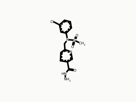 CS(=O)(=O)N(Cc1ccc(C(=O)NN)cn1)c1cccc(Cl)c1